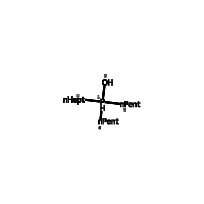 CCCCCCC[PH](O)(CCCCC)CCCCC